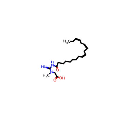 CC/C=C\C/C=C\C/C=C\CCCCCCCC(=O)NC(=N)N(C)CC(=O)O